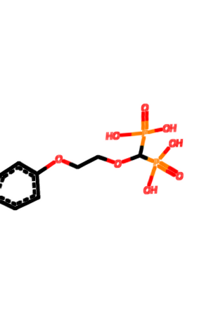 O=P(O)(O)C(OCCOc1ccccc1)P(=O)(O)O